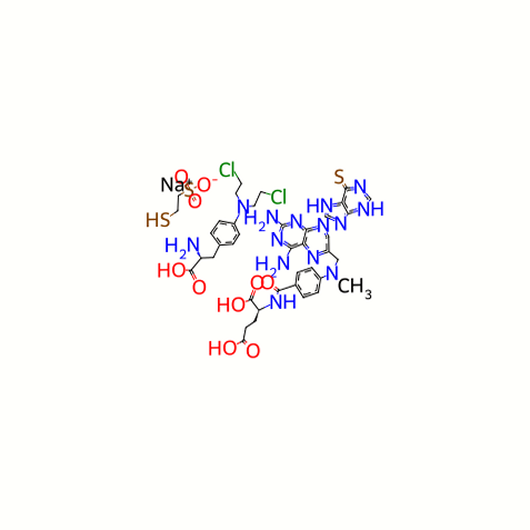 CN(Cc1cnc2nc(N)nc(N)c2n1)c1ccc(C(=O)N[C@@H](CCC(=O)O)C(=O)O)cc1.N[C@@H](Cc1ccc(N(CCCl)CCCl)cc1)C(=O)O.O=S(=O)([O-])CCS.S=c1nc[nH]c2nc[nH]c12.[Na+]